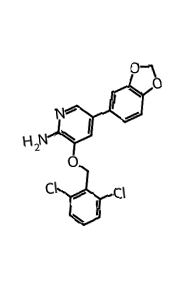 Nc1ncc(-c2ccc3c(c2)OCO3)cc1OCc1c(Cl)cccc1Cl